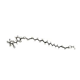 CCCCCCCCCCCCCCCCCCOC1OCC(CNC(=O)C(F)(F)F)O1